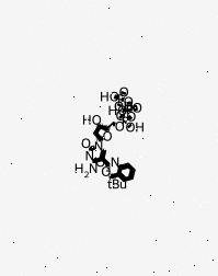 CC(C)(C)[C@@H](OCc1cn([C@H]2C[C@@H](O)[C@@H](COP(=O)(O)OP(=O)(O)OP(=O)(O)O)O2)c(=O)nc1N)c1ccccc1[N+](=O)[O-]